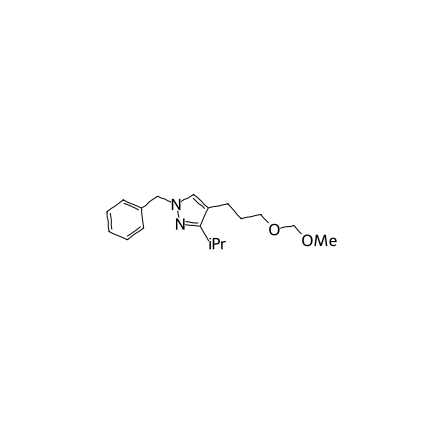 COCOCCCc1cn(Cc2ccccc2)nc1C(C)C